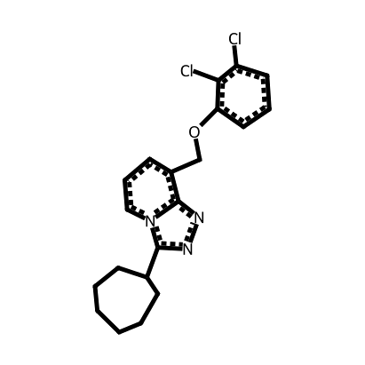 Clc1cccc(OCc2cccn3c(C4CCCCCC4)nnc23)c1Cl